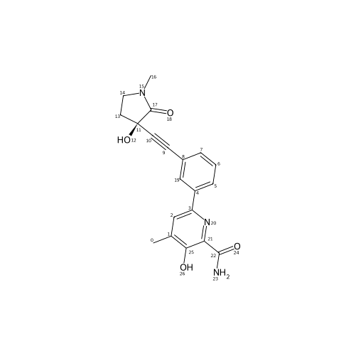 Cc1cc(-c2cccc(C#C[C@]3(O)CCN(C)C3=O)c2)nc(C(N)=O)c1O